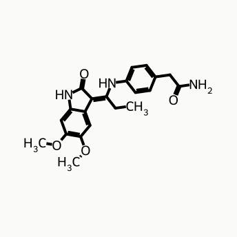 CC/C(Nc1ccc(CC(N)=O)cc1)=C1/C(=O)Nc2cc(OC)c(OC)cc21